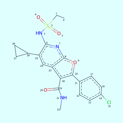 CCS(=O)(=O)Nc1nc2oc(-c3ccc(Cl)cc3)c(C(=O)NC)c2cc1C1CC1